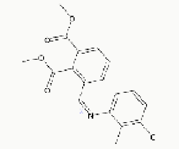 COC(=O)c1cccc(/C=N\c2cccc(Cl)c2C)c1C(=O)OC